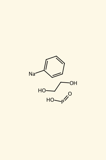 O=PO.OCCO.[Na][c]1ccccc1